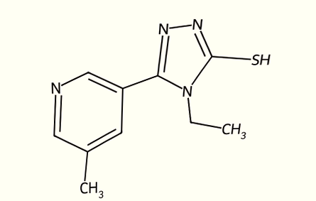 CCn1c(S)nnc1-c1cncc(C)c1